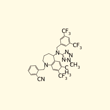 Cc1cc2c(cc1C(F)(F)F)N(Cc1ccccc1C#N)CCCC2N(Cc1cc(C(F)(F)F)cc(C(F)(F)F)c1)c1nnn(C)n1